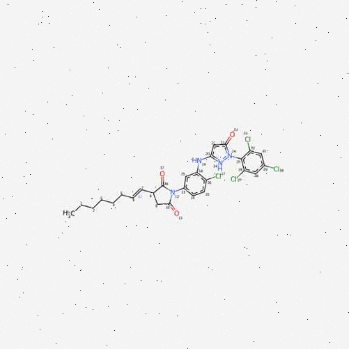 CCCCCC/C=C/C1CC(=O)N(c2ccc(Cl)c(Nc3cc(=O)n(-c4c(Cl)cc(Cl)cc4Cl)[nH]3)c2)C1=O